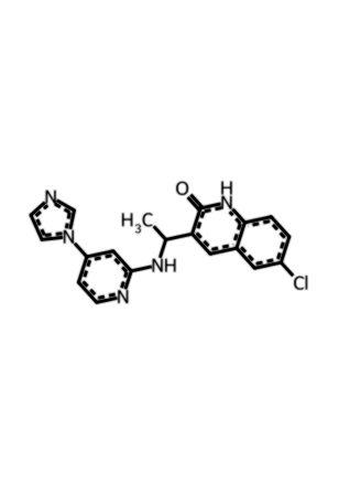 CC(Nc1cc(-n2ccnc2)ccn1)c1cc2cc(Cl)ccc2[nH]c1=O